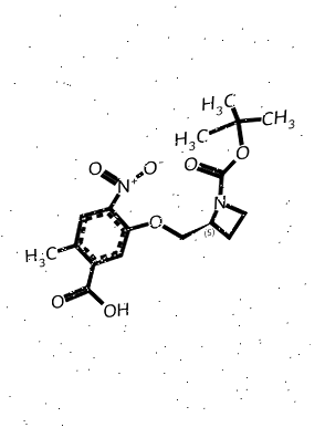 Cc1cc([N+](=O)[O-])c(OC[C@@H]2CCN2C(=O)OC(C)(C)C)cc1C(=O)O